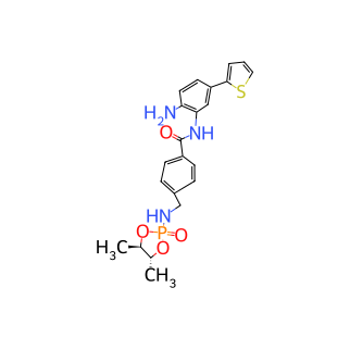 C[C@H]1OP(=O)(NCc2ccc(C(=O)Nc3cc(-c4cccs4)ccc3N)cc2)O[C@@H]1C